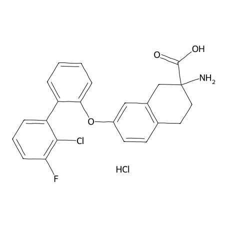 Cl.NC1(C(=O)O)CCc2ccc(Oc3ccccc3-c3cccc(F)c3Cl)cc2C1